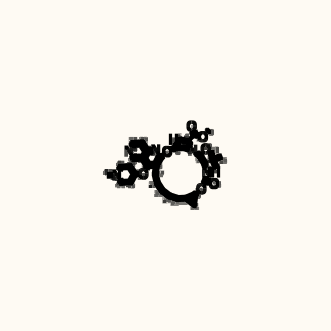 COC(=O)[C@@H]1C[C@@H]2CN1C(=O)[C@H](C(C)(C)C)NC(=O)OC1CC1CCCCCc1c(nc3ccncc3c1OC1CCN(C)CC1)O2